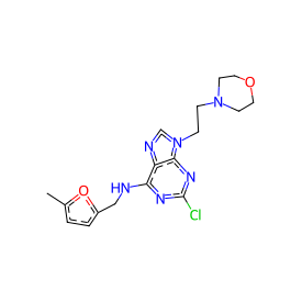 Cc1ccc(CNc2nc(Cl)nc3c2ncn3CCN2CCOCC2)o1